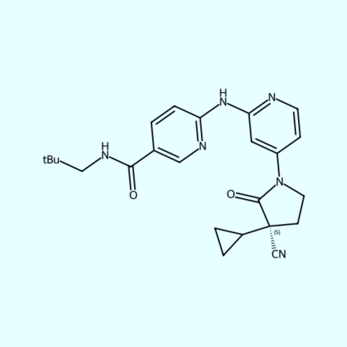 CC(C)(C)CNC(=O)c1ccc(Nc2cc(N3CC[C@@](C#N)(C4CC4)C3=O)ccn2)nc1